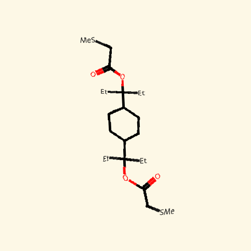 CCC(CC)(OC(=O)CSC)C1CCC(C(CC)(CC)OC(=O)CSC)CC1